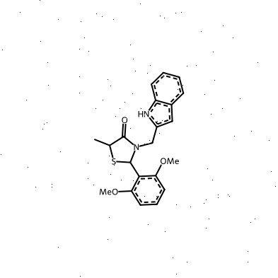 COc1cccc(OC)c1C1SC(C)C(=O)N1Cc1cc2ccccc2[nH]1